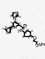 COCCOC1CCC(NC(=O)c2cc(-n3ccnc3)cc(-c3cncs3)n2)CC1